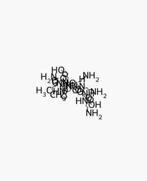 CCC(C)CCC(=O)N[C@H](CC(N)=O)C(=O)N[C@H](Cc1ccc(O)cc1)C(=O)N[C@H](Cc1c[nH]c2ccccc12)C(=O)N[C@H](CCCCN)C(=O)N[C@@H](CCCN)C(=O)NCC(=O)N[C@H](CCCN)C(=O)O